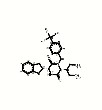 CCC(CC)[C@@H]1C(=O)N[C@H](C2Cc3ccccc3C2)C(=O)N1Cc1ccc(C(F)(F)F)cc1